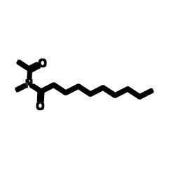 CCCCCCCCCC(=O)N(C)C(C)=O